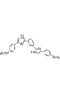 CC(=O)Nc1ccc(-c2c[nH]c(-c3cccc(-c4nc(-c5ccc(NC(C)=O)cc5)c[nH]4)c3)n2)cc1